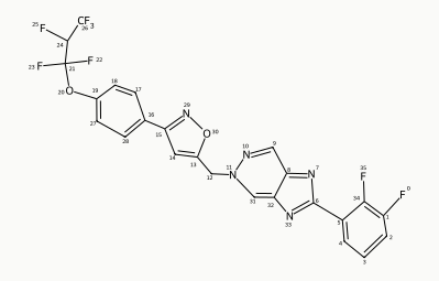 Fc1cccc(-c2nc3cnn(Cc4cc(-c5ccc(OC(F)(F)C(F)C(F)(F)F)cc5)no4)cc-3n2)c1F